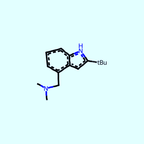 CN(C)Cc1cccc2[nH]c(C(C)(C)C)cc12